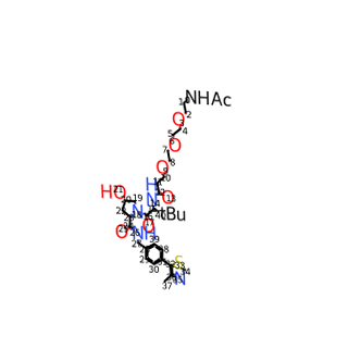 CC(=O)NCCOCCOCCOCCC(=O)NC(C(=O)N1C[C@H](O)CC1C(=O)NCc1ccc(-c2scnc2C)cc1)C(C)(C)C